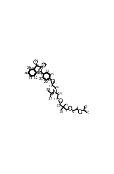 CC(C)OCCOCC(C)(C)COCCN(CCOc1ccc(N2C(=O)C(=O)c3ccccc32)cc1)C(C)C